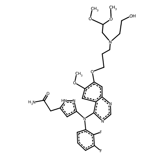 COc1cc2c(N(c3cc(CC(N)=O)[nH]n3)c3cccc(F)c3F)ncnc2cc1OCCCN(CCO)CC(OC)OC